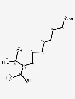 CCCCCCCCCCCCSCCCN(C(C)O)C(C)O